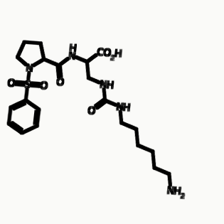 NCCCCCCNC(=O)NCC(NC(=O)C1CCCN1S(=O)(=O)c1ccccc1)C(=O)O